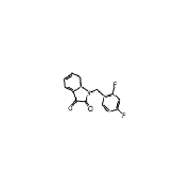 O=C1C(=O)N(Cc2ccc(F)cc2F)c2ccccc21